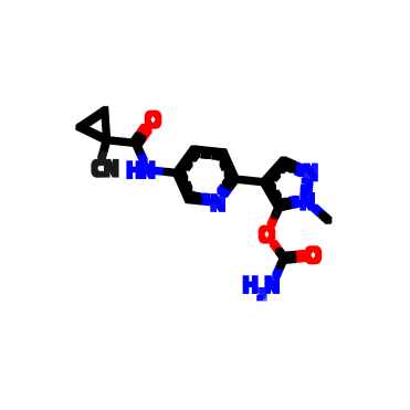 Cn1ncc(-c2ccc(NC(=O)C3(C#N)CC3)cn2)c1OC(N)=O